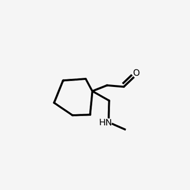 CNCC1(CC=O)CCCCC1